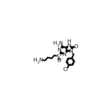 NCCCC[S+]([O-])c1nc(N)c2[nH]c(=O)n(Cc3ccc(Cl)cc3)c2n1